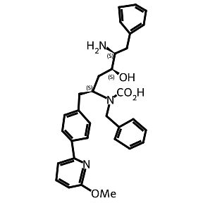 COc1cccc(-c2ccc(C[C@@H](C[C@H](O)[C@@H](N)Cc3ccccc3)N(Cc3ccccc3)C(=O)O)cc2)n1